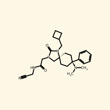 CN(C)[C@]1(c2ccccc2)CC[C@]2(CC1)CN(CC(=O)NCC#N)C(=O)N2CC1CCC1